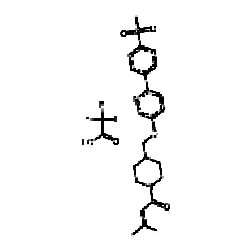 CC(C)=CC(=O)N1CCC(COc2ccc(-c3ccc(S(C)(=O)=O)cc3)nc2)CC1.O=C(O)C(F)(F)F